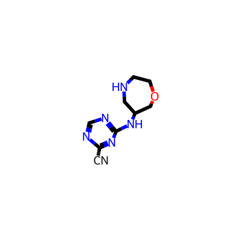 N#Cc1ncnc(NC2CNCCOC2)n1